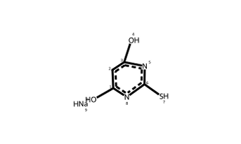 Oc1cc(O)nc(S)n1.[NaH]